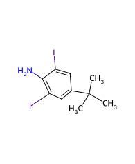 CC(C)(C)c1cc(I)c(N)c(I)c1